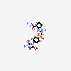 NC(=O)c1cccc2[nH]c(CS(=O)(=O)c3ccc(N4C(=O)CNC4=O)cc3)nc12